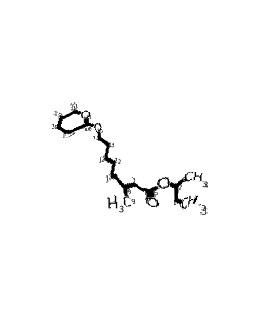 CCC(C)OC(=O)CC(C)CCCCCOC1CCCCO1